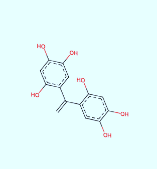 C=C(c1cc(O)c(O)cc1O)c1cc(O)c(O)cc1O